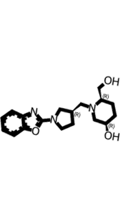 OC[C@H]1CC[C@@H](O)CN1C[C@H]1CCN(c2nc3ccccc3o2)C1